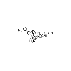 Cc1ccn(-c2cc(-c3cccc(C#N)c3)ccc2C(Oc2cc(N3CCC4(CC3)CNC(C(=O)O)C4)nc(N)n2)C(F)(F)F)n1